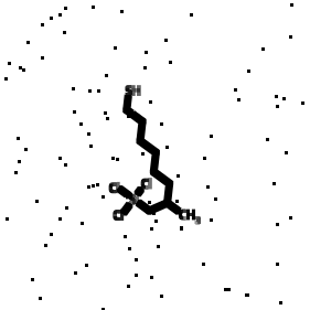 CC(CCCCCCS)C[Si](Cl)(Cl)Cl